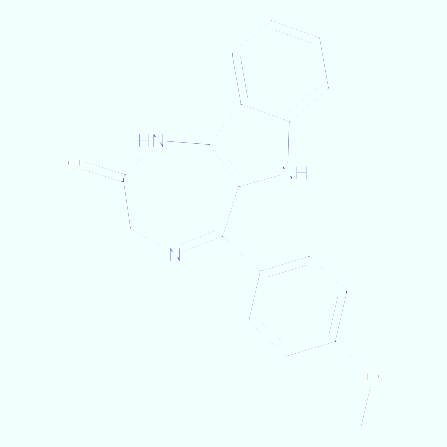 COc1ccc(C2=NCC(=O)Nc3c2[nH]c2ccccc32)cc1